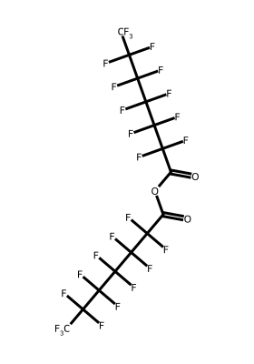 O=C(OC(=O)C(F)(F)C(F)(F)C(F)(F)C(F)(F)C(F)(F)C(F)(F)F)C(F)(F)C(F)(F)C(F)(F)C(F)(F)C(F)(F)C(F)(F)F